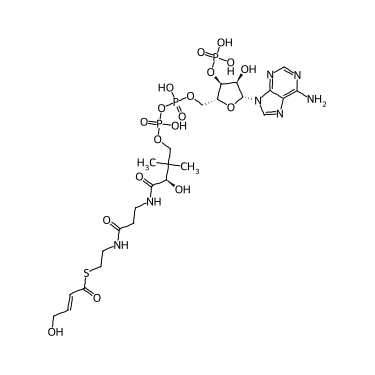 CC(C)(COP(=O)(O)OP(=O)(O)OC[C@H]1O[C@@H](n2cnc3c(N)ncnc32)[C@H](O)[C@@H]1OP(=O)(O)O)[C@@H](O)C(=O)NCCC(=O)NCCSC(=O)C=CCO